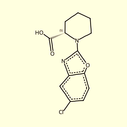 O=C(O)[C@@H]1CCCCN1c1nc2cc(Cl)ccc2o1